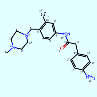 CN1CCN(Cc2ccc(NC(=O)Cc3ccc(N)cc3)cc2C(F)(F)F)CC1